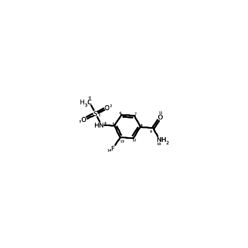 CS(=O)(=O)Nc1ccc(C(N)=O)cc1F